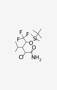 CC(C)C(C(Cl)C(N)=O)C(O[Si](C)(C)C(C)(C)C)C(F)(F)F